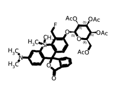 CC(=O)OC[C@H]1O[C@@H](Oc2ccc3c(c2CF)[Si](C)(C)c2cc(N(C)C)ccc2C32OC(=O)c3ccccc32)[C@H](OC(C)=O)[C@@H](OC(C)=O)[C@H]1OC(C)=O